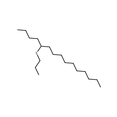 [CH2]CCCC(CCCCCCCCCC)SCCC